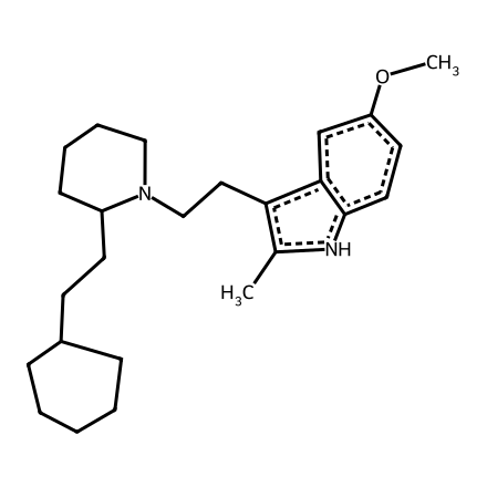 COc1ccc2[nH]c(C)c(CCN3CCCCC3CCC3CCCCC3)c2c1